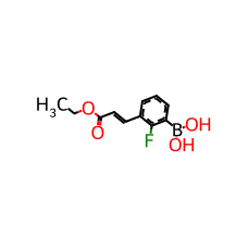 CCOC(=O)C=Cc1cccc(B(O)O)c1F